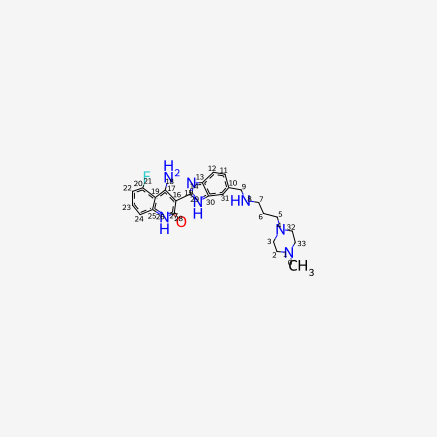 CN1CCN(CCCNCc2ccc3nc(-c4c(N)c5c(F)cccc5[nH]c4=O)[nH]c3c2)CC1